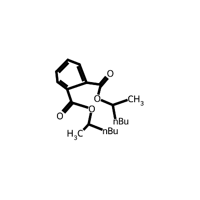 CCCCC(C)OC(=O)c1ccccc1C(=O)OC(C)CCCC